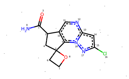 NC(=O)C1CC2(CCO2)c2c1cnc1cc(Cl)nn21